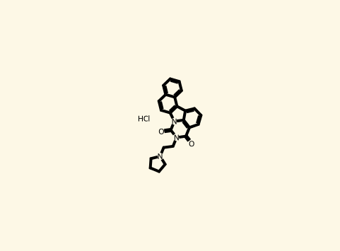 Cl.O=c1c2cccc3c4c5ccccc5ccc4n(c(=O)n1CCN1CCCC1)c23